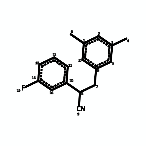 Cc1cc(C)cc(CC(C#N)c2cccc(F)c2)c1